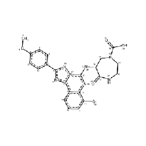 COc1ccc(-c2nc3c4cccc(Br)c4nc(N[C@@H]4CN(C(=O)O)CCNC4=O)n3n2)cc1